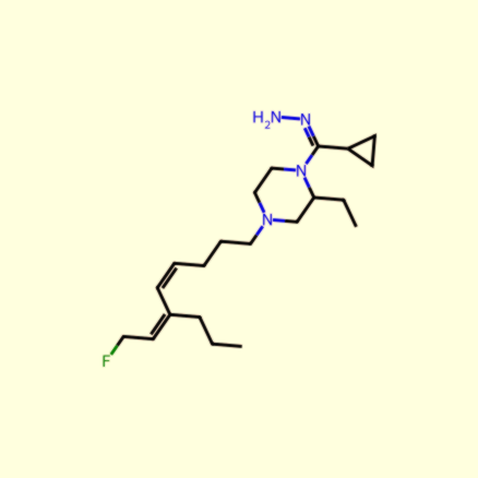 CCCC(/C=C\CCCN1CCN(/C(=N\N)C2CC2)C(CC)C1)=C/CF